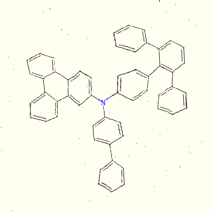 c1ccc(-c2ccc(N(c3ccc(-c4c(-c5ccccc5)cccc4-c4ccccc4)cc3)c3ccc4c5ccccc5c5ccccc5c4c3)cc2)cc1